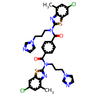 Cc1cc(Cl)cc2sc(N(CCCn3ccnc3)C(=O)c3ccc(C(=O)N(CCCn4ccnc4)c4nc5c(C)cc(Cl)cc5s4)cc3)nc12